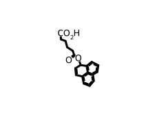 O=C(O)CCCCC(=O)OC1C=Cc2cccc3cccc1c23